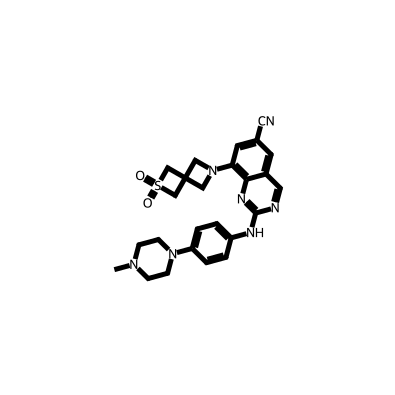 CN1CCN(c2ccc(Nc3ncc4cc(C#N)cc(N5CC6(C5)CS(=O)(=O)C6)c4n3)cc2)CC1